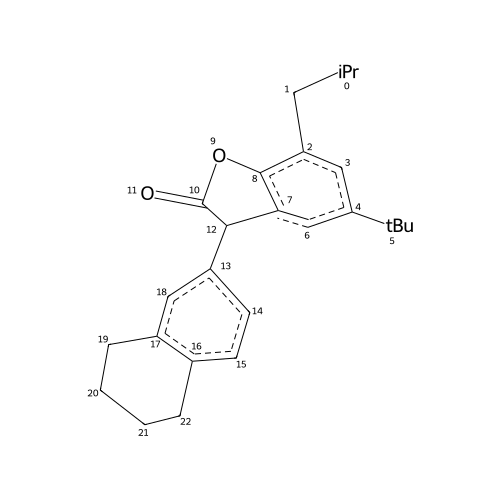 CC(C)Cc1cc(C(C)(C)C)cc2c1OC(=O)C2c1ccc2c(c1)CCCC2